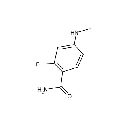 CNc1ccc(C(N)=O)c(F)c1